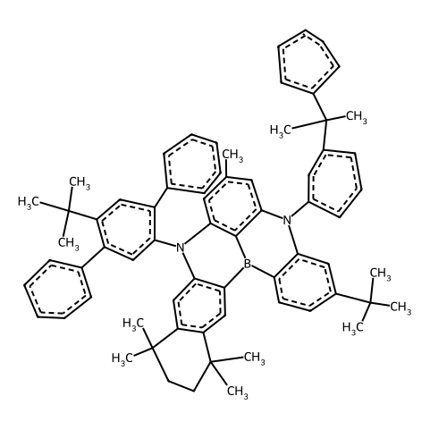 Cc1cc2c3c(c1)N(c1cc(-c4ccccc4)c(C(C)(C)C)cc1-c1ccccc1)c1cc4c(cc1B3c1ccc(C(C)(C)C)cc1N2c1cccc(C(C)(C)c2ccccc2)c1)C(C)(C)CCC4(C)C